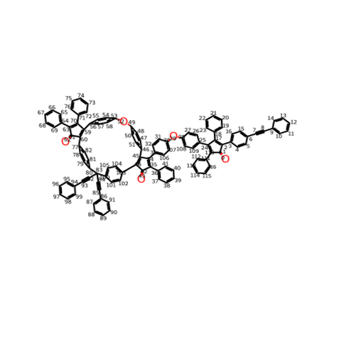 O=C1C(c2ccc(C#Cc3ccccc3)cc2)=C(c2ccccc2)C(c2ccc(Oc3ccc(C4=C(c5ccccc5)C(=O)C5=C4c4ccc(cc4)Oc4ccc(cc4)C4=C(C(=O)C(c6ccccc6)=C4c4ccccc4)c4ccc(cc4)C(C#Cc4ccccc4)(C#Cc4ccccc4)c4ccc5cc4)cc3)cc2)=C1c1ccccc1